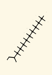 CC(CO)C(F)(F)C(F)(F)C(F)(F)C(F)(F)C(F)(F)C(F)(F)C(F)(F)C(F)(F)C(F)(F)C(F)(F)F